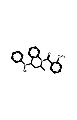 COc1ccccc1C(=O)N1c2ccccc2C(N(C(C)=O)c2ccccc2)CC1C